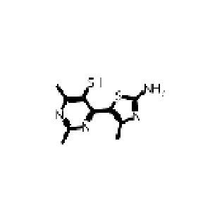 Cc1nc(C)c(S)c(-c2sc(N)nc2C)n1